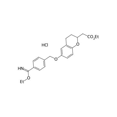 CCOC(=N)c1ccc(COc2ccc3c(c2)CCC(CC(=O)OCC)O3)cc1.Cl